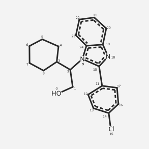 OCC(C1CCCCC1)n1c(-c2ccc(Cl)cc2)nc2ccccc21